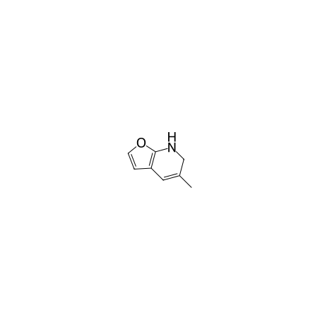 CC1=Cc2ccoc2NC1